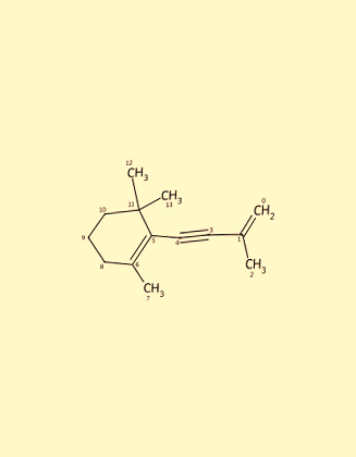 C=C(C)C#CC1=C(C)CCCC1(C)C